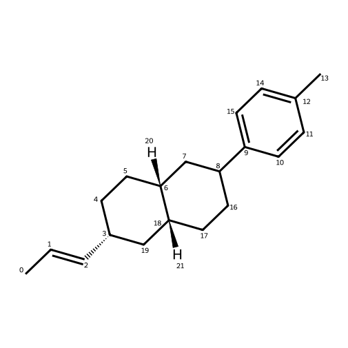 CC=C[C@@H]1CC[C@@H]2CC(c3ccc(C)cc3)CC[C@@H]2C1